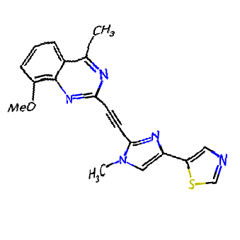 COc1cccc2c(C)nc(C#Cc3nc(-c4cncs4)cn3C)nc12